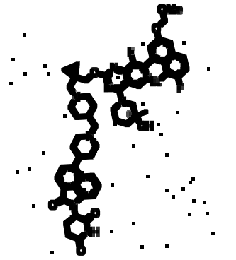 CCc1c(F)ccc2cc(OCOC)cc(-c3ncc4c(N5CCC[C@@](C)(O)C5)nc(OCC5(CN6CCC(CN7CCC(c8ccc9c%10c(cccc8%10)N(C8CCC(=O)NC8=O)C9=O)CC7)CC6)CC5)nc4c3F)c12